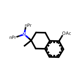 CCCN(CCC)C1(C)CCc2c(cccc2OC(C)=O)C1